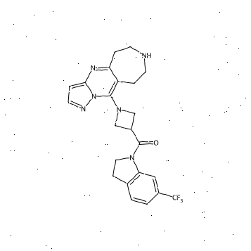 O=C(C1CN(c2c3c(nc4ccnn24)CCNCC3)C1)N1CCc2ccc(C(F)(F)F)cc21